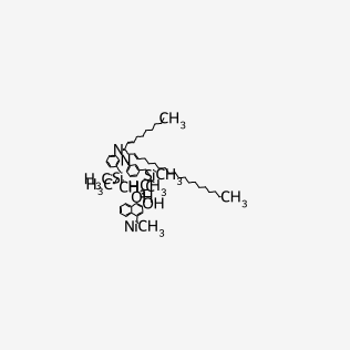 CCCCCCCC=CC(=Nc1cccc(C[Si](CC)(CC)CC)c1)C(C=CCCCCCCCCCCCCCCCCC)=Nc1cccc(C[Si](CC)(CC)CC)c1.CCc1cc(O)c(O)c2ccccc12.[Ni]